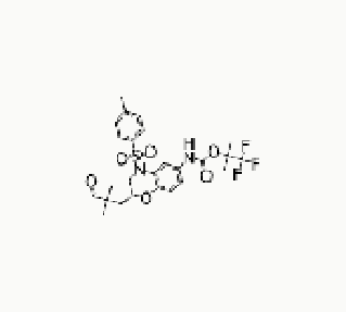 Cc1ccc(S(=O)(=O)N2C[C@H](CC(C)(C)C=O)Oc3ccc(NC(=O)OC(C)(C)C(F)(F)F)cc32)cc1